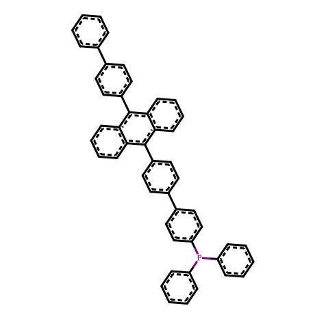 c1ccc(-c2ccc(-c3c4ccccc4c(-c4ccc(-c5ccc(P(c6ccccc6)c6ccccc6)cc5)cc4)c4ccccc34)cc2)cc1